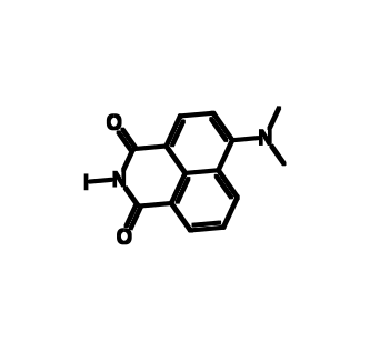 CN(C)c1ccc2c3c(cccc13)C(=O)N(I)C2=O